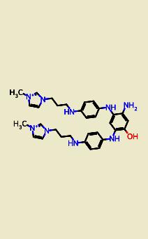 C[n+]1ccn(CCCNc2ccc(Nc3cc(Nc4ccc(NCCCn5cc[n+](C)c5)cc4)c(O)cc3N)cc2)c1